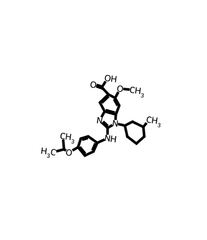 COc1cc2c(cc1C(=O)O)nc(Nc1ccc(OC(C)C)cc1)n2C1CCCC(C)C1